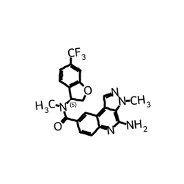 CN(C(=O)c1ccc2nc(N)c3c(cnn3C)c2c1)[C@@H]1COc2cc(C(F)(F)F)ccc21